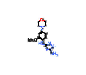 COc1cc(N2CCOCC2)ccc1Nc1n[nH]c(N)n1